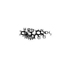 Cn1nc2ccc(-c3c[nH]c4nc(N5C6CC[C@H]5C[C@@]6(C)N)n(C)c(=O)c34)c(Cl)c2c1Cl